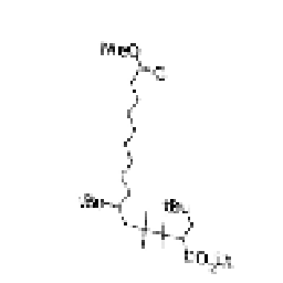 CCOC(=O)C(CC(C)(C)C)C(C)(C)C(C)(C)CC(CCCCCCCCC(=O)OC)C(C)(C)C